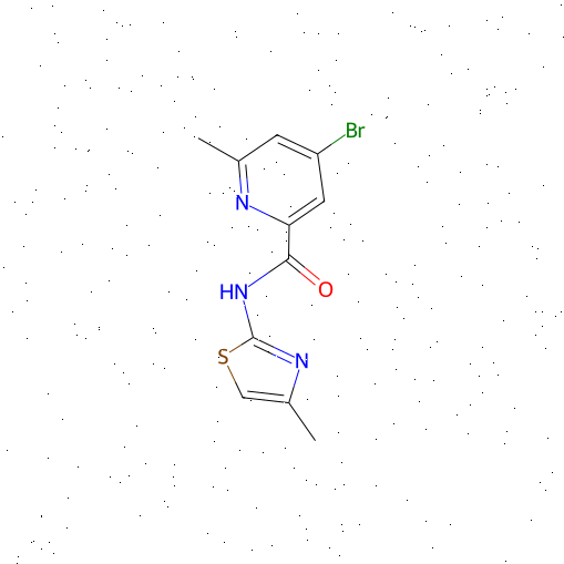 Cc1cc(Br)cc(C(=O)Nc2nc(C)cs2)n1